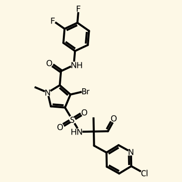 Cn1cc(S(=O)(=O)NC(C)(C=O)Cc2ccc(Cl)nc2)c(Br)c1C(=O)Nc1ccc(F)c(F)c1